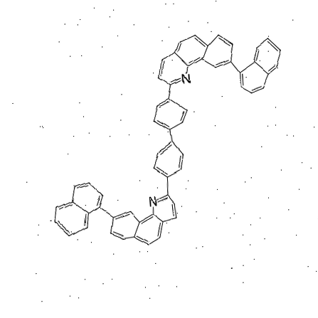 c1ccc2c(-c3ccc4ccc5ccc(-c6ccc(-c7ccc(-c8ccc9ccc%10ccc(-c%11cccc%12ccccc%11%12)cc%10c9n8)cc7)cc6)nc5c4c3)cccc2c1